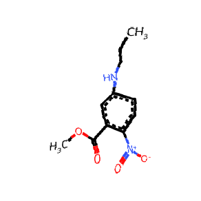 CCCNc1ccc([N+](=O)[O-])c(C(=O)OC)c1